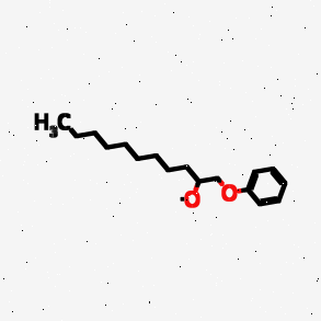 CCCCCCCCCC([O])COc1ccccc1